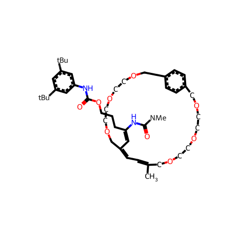 CNC(=O)N/C(=C/C1=C\C=C(/C)COCCOCCOCc2ccc(cc2)COCCOCCOC1)CCCOC(=O)Nc1cc(C(C)(C)C)cc(C(C)(C)C)c1